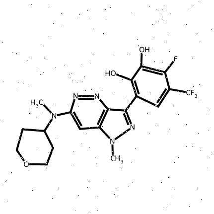 CN(c1cc2c(nn1)c(-c1cc(C(F)(F)F)c(F)c(O)c1O)nn2C)C1CCOCC1